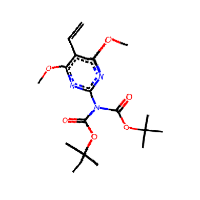 C=Cc1c(OC)nc(N(C(=O)OC(C)(C)C)C(=O)OC(C)(C)C)nc1OC